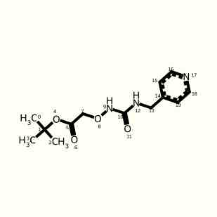 CC(C)(C)OC(=O)CONC(=O)NCc1ccncc1